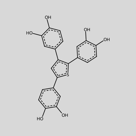 Oc1ccc(-c2cc(-c3ccc(O)c(O)c3)c(-c3ccc(O)c(O)c3)s2)cc1O